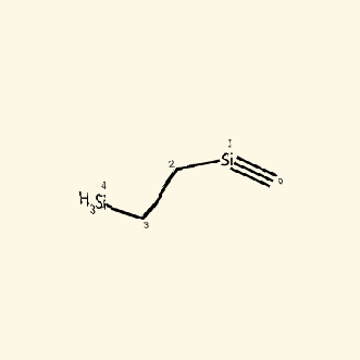 C#[Si]CC[SiH3]